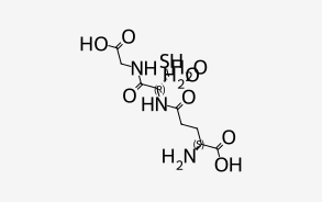 N[C@@H](CCC(=O)N[C@@H](CS)C(=O)NCC(=O)O)C(=O)O.O.O